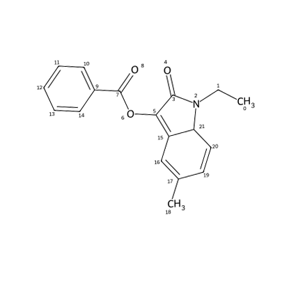 CCN1C(=O)C(OC(=O)c2ccccc2)=C2C=C(C)C=CC21